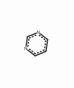 [c]1c[c]n[c]n1